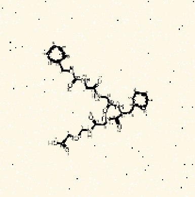 O=C(O)COCNC(=O)CNC(=O)C(Cc1ccccc1)NC(=O)CNC(=O)CNC(=O)OCc1ccccc1